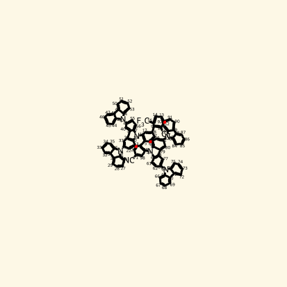 N#Cc1ccc(-c2ccc(-c3c(C(F)(F)F)cccc3C(F)(F)F)cc2-n2c3ccc(-n4c5ccccc5c5ccccc54)cc3c3cc(-n4c5ccccc5c5ccccc54)ccc32)c(-n2c3ccc(-n4c5ccccc5c5ccccc54)cc3c3cc(-n4c5ccccc5c5ccccc54)ccc32)c1